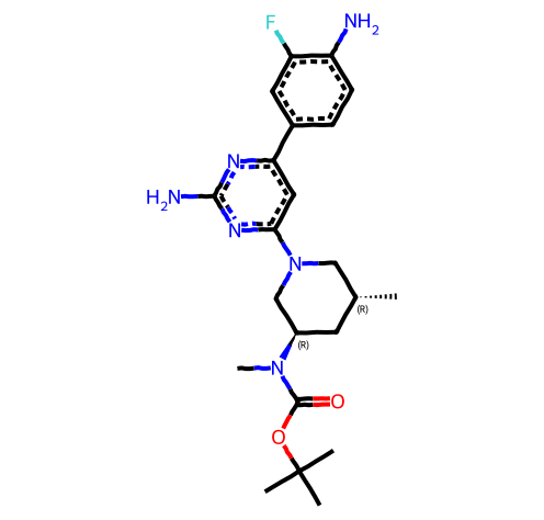 C[C@@H]1C[C@@H](N(C)C(=O)OC(C)(C)C)CN(c2cc(-c3ccc(N)c(F)c3)nc(N)n2)C1